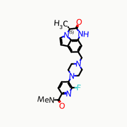 CNC(=O)c1ccc(N2CCN(Cc3cc4c5c(ccn5[C@@H](C)C(=O)N4)c3)CC2)c(F)n1